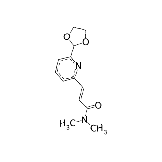 CN(C)C(=O)C=Cc1cccc(C2OCCO2)n1